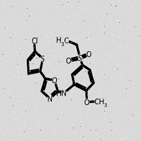 CCS(=O)(=O)c1ccc(OC)c(Nc2ncc(-c3ccc(Cl)s3)o2)c1